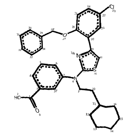 O=C(O)c1cccc(N(CCC2CCCCC2)c2nc(-c3cc(Cl)ccc3OCc3ccccc3)cs2)c1